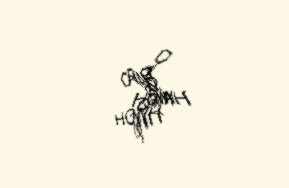 CC[C@H](C)[C@@H](CO)NC(=O)C[C@H](O)[C@H](CC(C)C)NC(=O)[C@@H](Cc1c[nH]cn1)NC(=O)[C@H](Cc1cccc2ccccc12)NC(=O)OCc1ccccc1